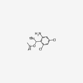 C[SiH](C)OC(c1c(N)cc(Cl)cc1Cl)C(C)(C)C